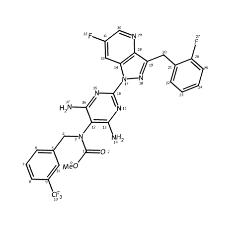 COC(=O)N(Cc1cccc(C(F)(F)F)c1)c1c(N)nc(-n2nc(Cc3ccccc3F)c3ncc(F)cc32)nc1N